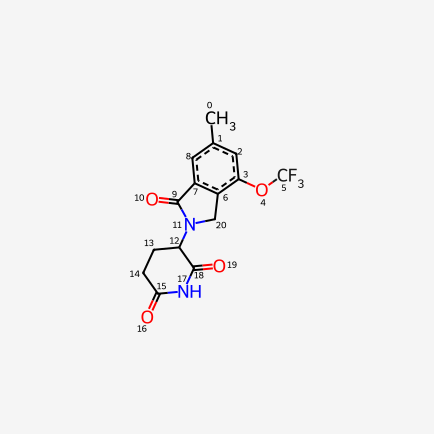 Cc1cc(OC(F)(F)F)c2c(c1)C(=O)N(C1CCC(=O)NC1=O)C2